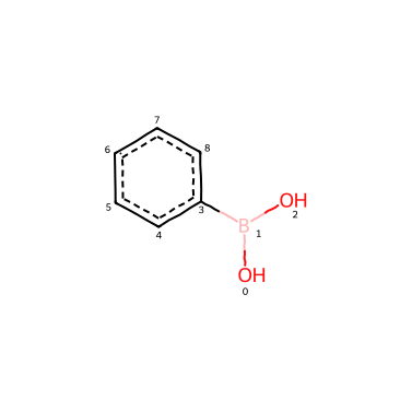 OB(O)c1cc[c]cc1